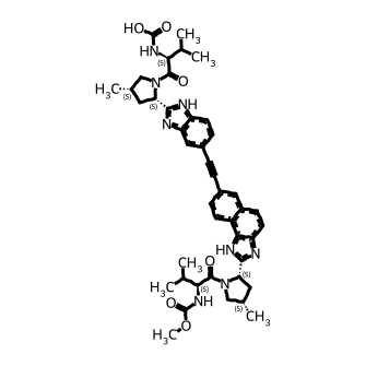 COC(=O)N[C@H](C(=O)N1C[C@@H](C)C[C@H]1c1nc2ccc3cc(C#Cc4ccc5[nH]c([C@@H]6C[C@H](C)CN6C(=O)[C@@H](NC(=O)O)C(C)C)nc5c4)ccc3c2[nH]1)C(C)C